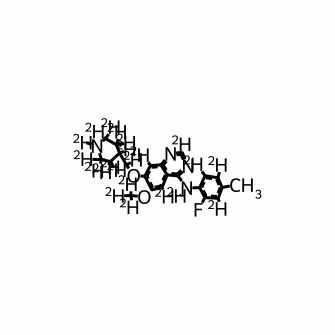 [2H]c1nc(N([2H])c2c([2H])c([2H])c(C)c([2H])c2F)c2c([2H])c(OC([2H])([2H])[2H])c(OC([2H])([2H])C3([2H])C([2H])([2H])C([2H])([2H])N([2H])C([2H])([2H])C3([2H])[2H])c([2H])c2n1